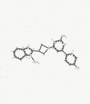 Cc1nc(-c2ccc(Cl)cn2)cc(N2CC(c3nc4ccccc4n3C)C2)n1